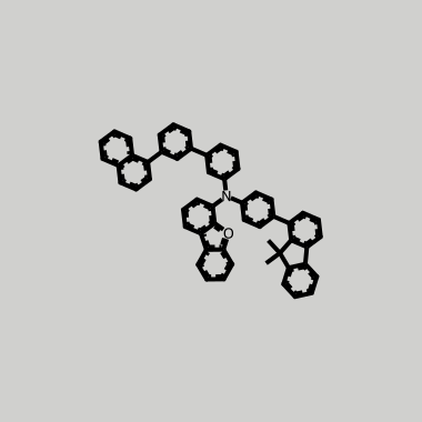 CC1(C)c2ccccc2-c2cccc(-c3ccc(N(c4cccc(-c5cccc(-c6cccc7ccccc67)c5)c4)c4cccc5c4oc4ccccc45)cc3)c21